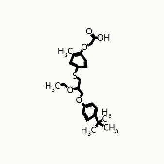 CCOC(COc1ccc(C(C)(C)C)cc1)CSc1ccc(OCC(=O)O)c(C)c1